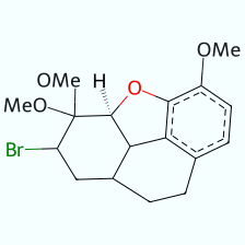 COc1ccc2c3c1O[C@H]1C3C(CC2)CC(Br)C1(OC)OC